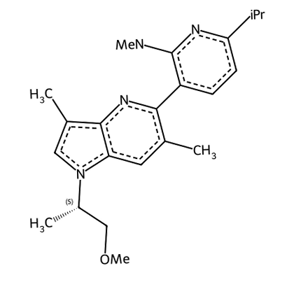 CNc1nc(C(C)C)ccc1-c1nc2c(C)cn([C@@H](C)COC)c2cc1C